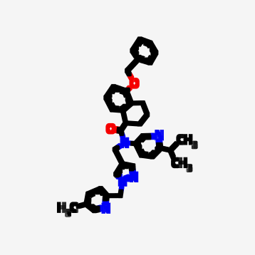 Cc1ccc(Cn2cc(CN(C(=O)C3CCCc4c(OCc5ccccc5)cccc43)c3ccc(C(C)C)nc3)cn2)nc1